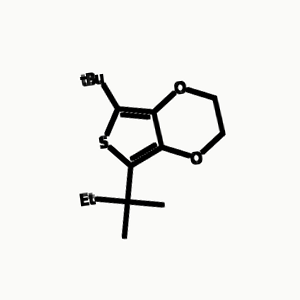 CCC(C)(C)c1sc(C(C)(C)C)c2c1OCCO2